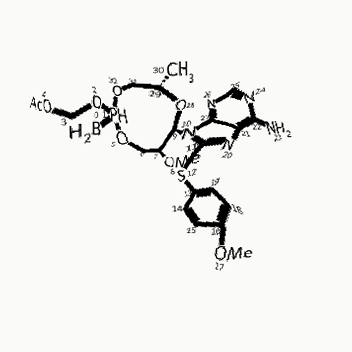 B[PH]1(OCOC(C)=O)OC[C@H](OC)[C@H](n2c(Sc3ccc(OC)cc3)nc3c(N)ncnc32)O[C@@H](C)CO1